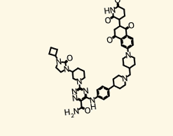 NC(=O)c1nnc(N2CCCC(N3CCN(C4CCC4)C3=O)C2)nc1Nc1ccc(C2CCN(CC3CCN(c4ccc5c(c4)C(=O)CC(C4CCC(=O)NC4=O)C5=O)CC3)CC2)cc1